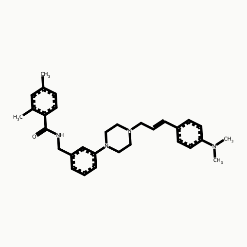 Cc1ccc(C(=O)NCc2cccc(N3CCN(C/C=C/c4ccc(N(C)C)cc4)CC3)c2)c(C)c1